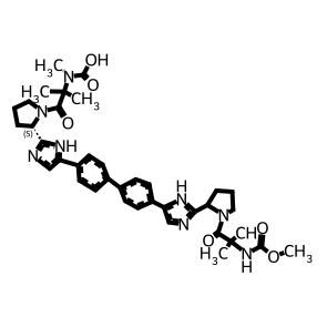 COC(=O)NC(C)(C)C(=O)N1CCCC1c1ncc(-c2ccc(-c3ccc(-c4cnc([C@@H]5CCCN5C(=O)C(C)(C)N(C)C(=O)O)[nH]4)cc3)cc2)[nH]1